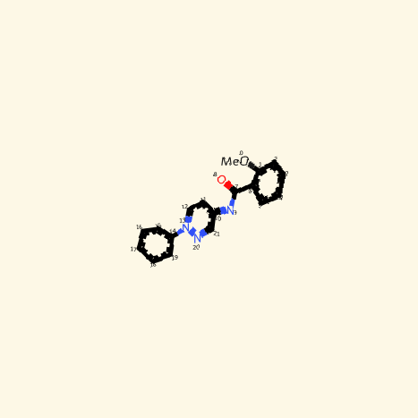 COc1ccccc1C(=O)N=c1ccn(-c2ccccc2)nc1